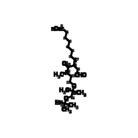 CCCCCCCCCCCCCCCCSC(CC=O)C(=O)N(C)CCOC(C)(C)COC(C)(C)CC